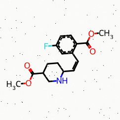 COC(=O)c1ccc(F)cc1/C=C\C1CCC(C(=O)OC)CN1